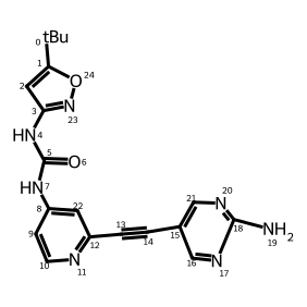 CC(C)(C)c1cc(NC(=O)Nc2ccnc(C#Cc3cnc(N)nc3)c2)no1